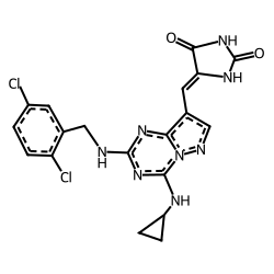 O=C1NC(=O)/C(=C/c2cnn3c(NC4CC4)nc(NCc4cc(Cl)ccc4Cl)nc23)N1